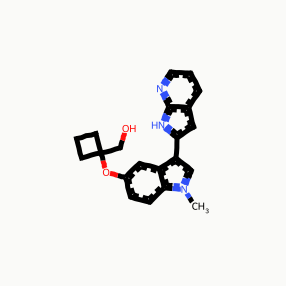 Cn1cc(-c2cc3cccnc3[nH]2)c2cc(OC3(CO)CCC3)ccc21